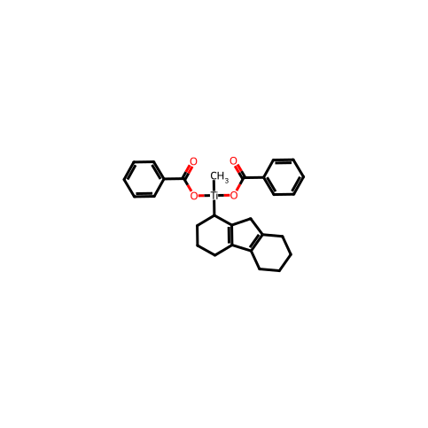 [CH3][Ti]([O]C(=O)c1ccccc1)([O]C(=O)c1ccccc1)[CH]1CCCC2=C1CC1=C2CCCC1